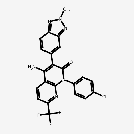 Cn1nc2ccc(-c3c(N)c4ccc(C(F)(F)F)nc4n(-c4ccc(Cl)cc4)c3=O)cc2n1